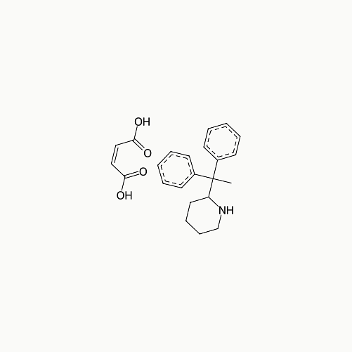 CC(c1ccccc1)(c1ccccc1)C1CCCCN1.O=C(O)/C=C\C(=O)O